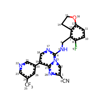 N#Cc1cn2c(NCc3c(F)ccc4c3CCO4)ncc(-c3cncc(C(F)(F)F)c3)c2n1